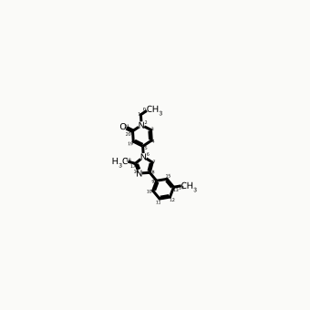 CCn1ccc(-n2cc(-c3cccc(C)c3)nc2C)cc1=O